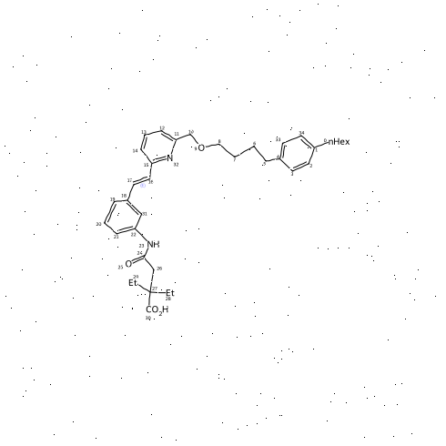 CCCCCCc1ccc(CCCCOCc2cccc(/C=C/c3cccc(NC(=O)CC(CC)(CC)C(=O)O)c3)n2)cc1